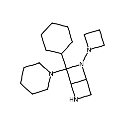 C1CCC(C2(N3CCCCC3)C3NCC3N2N2CCC2)CC1